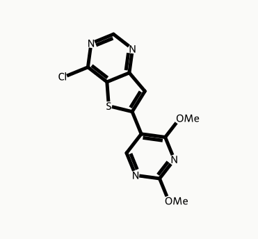 COc1ncc(-c2cc3ncnc(Cl)c3s2)c(OC)n1